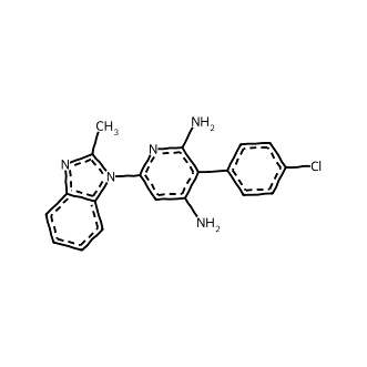 Cc1nc2ccccc2n1-c1cc(N)c(-c2ccc(Cl)cc2)c(N)n1